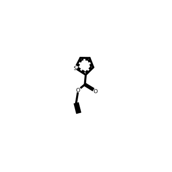 C#COC(=O)c1cccs1